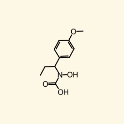 CCC(c1ccc(OC)cc1)N(O)C(=O)O